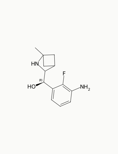 CC12CC(C1)C([C@H](O)c1cccc(N)c1F)N2